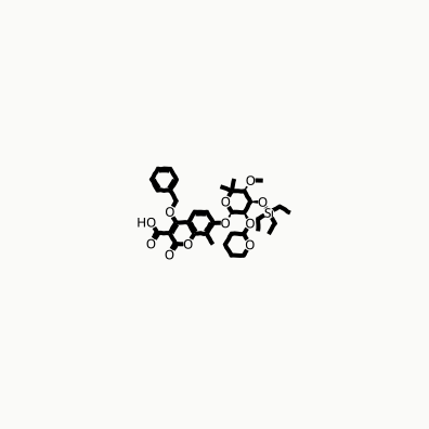 CC[Si](CC)(CC)O[C@H]1[C@@H](OC2CCCCO2)[C@H](Oc2ccc3c(OCc4ccccc4)c(C(=O)O)c(=O)oc3c2C)OC(C)(C)[C@@H]1OC